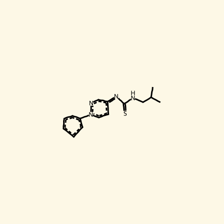 CC(C)CNC(=S)N=c1ccn(-c2ccccc2)nc1